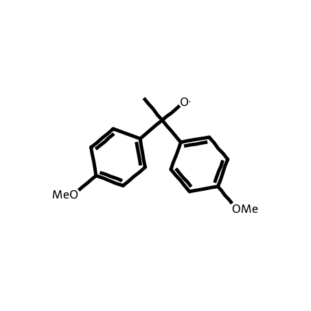 COc1ccc(C(C)([O])c2ccc(OC)cc2)cc1